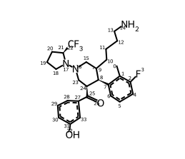 Cc1c(F)cccc1[C@@H]1[C](CCCCN)CN(N2CCC[C@H]2C(F)(F)F)C[C@@H]1C(=O)c1cccc(O)c1